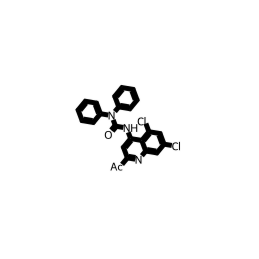 CC(=O)c1cc(NC(=O)N(c2ccccc2)c2ccccc2)c2c(Cl)cc(Cl)cc2n1